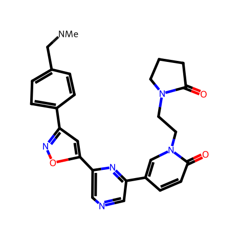 CNCc1ccc(-c2cc(-c3cncc(-c4ccc(=O)n(CCN5CCCC5=O)c4)n3)on2)cc1